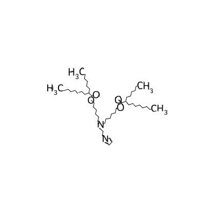 CCCCCCCCC(CCCCCC)C(=O)OCCCCCCN(CCCCCCOC(=O)C(CCCCCC)CCCCCCCC)CCCn1cccc1